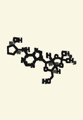 CC1(C)O[C@@H]2[C@@H](CO)OC(n3cnc4c(N[C@H]5CCC[C@@H]5O)ncnc43)[C@@H]2O1